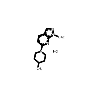 CC(=O)On1ncc2ccc(N3CCC(C)CC3)nc21.Cl